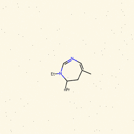 CCCC1CC(C)=CN=CN1CC